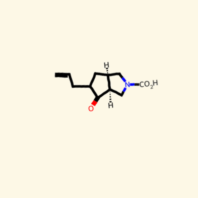 C=CCC1C[C@H]2CN(C(=O)O)C[C@H]2C1=O